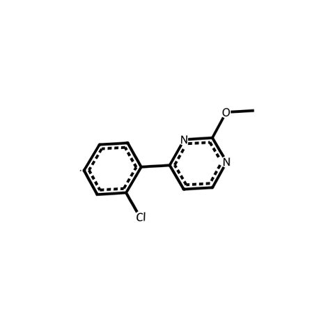 COc1nccc(-c2cc[c]cc2Cl)n1